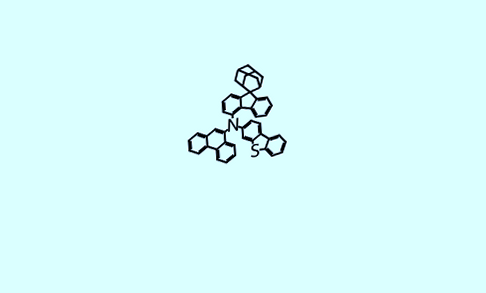 c1ccc2c(c1)-c1c(N(c3ccc4c(c3)sc3ccccc34)c3cc4ccccc4c4ccccc34)cccc1C21C2CC3CC(C2)CC1C3